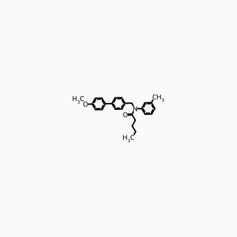 CCCCC(=O)N(Cc1ccc(-c2ccc(OC)cc2)cc1)c1cccc(C)c1